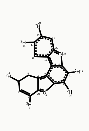 [2H]C1=CC([2H])CC2=c3c(c([2H])c([2H])c4c3=c3cc([2H])c([2H])cc3=N4)N=C12